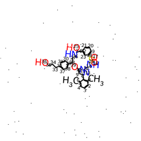 Cc1cccc(C)c1-c1cc2nc(n1)NS(=O)(=O)c1cccc(c1)C(O)NCC(c1ccc(CCCO)cc1)O2